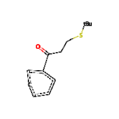 CC(C)(C)SCCC(=O)c1ccccc1